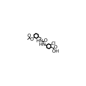 CC(=O)Oc1cccc(CNC(=O)Nc2ccc(C(=O)O)c(Cl)c2)c1